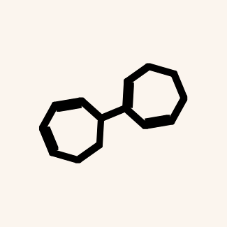 C1=CCCC(C2=CCCCC=C2)C=C1